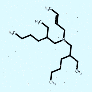 CC=CCN(CC(CC)CCCC)CC(CC)CCCC